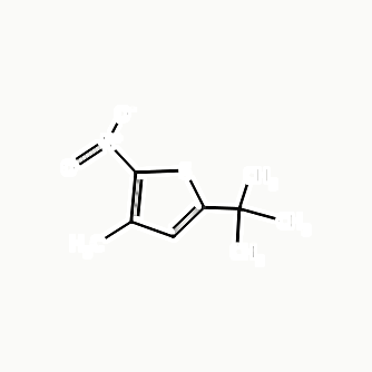 Cc1cc(C(C)(C)C)sc1[N+](=O)[O-]